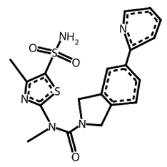 Cc1nc(N(C)C(=O)N2Cc3ccc(-c4ccccn4)cc3C2)sc1S(N)(=O)=O